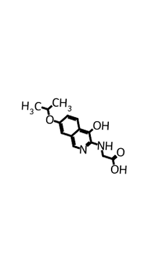 CC(C)Oc1ccc2c(O)c(NCC(=O)O)ncc2c1